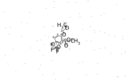 COCOc1ccc2c(c1C(=O)OC)OC(F)(F)O2